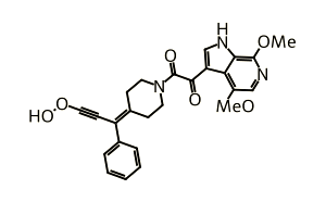 COc1ncc(OC)c2c(C(=O)C(=O)N3CCC(=C(C#COO)c4ccccc4)CC3)c[nH]c12